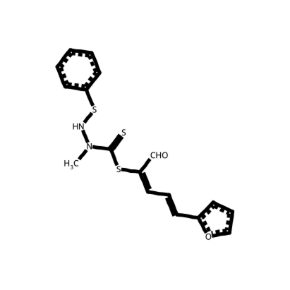 CN(NSc1ccccc1)C(=S)S/C(C=O)=C/C=C/c1ccco1